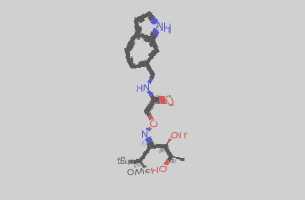 CO[C@H](/C(=N/OCC(=O)NCc1ccc2cc[nH]c2c1)[C@@H](O)[C@@H](C)O)C(C)(C)C